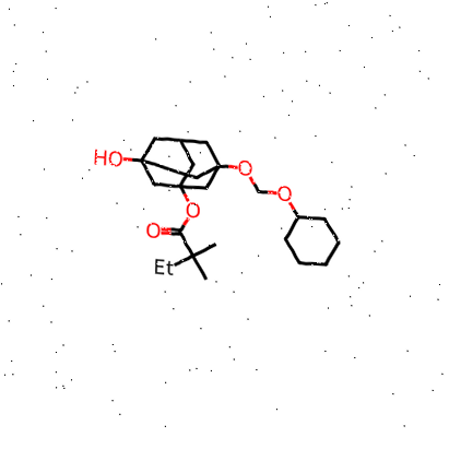 CCC(C)(C)C(=O)OC12CC3CC(O)(CC(OCOC4CCCCC4)(C3)C1)C2